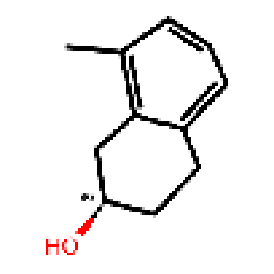 Cc1cccc2c1C[C@H](O)CC2